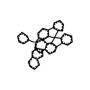 c1ccc(N(c2ccc3c(c2)C2(c4ccccc4-3)c3ccccc3-c3ccc4ccccc4c32)c2ccc3ccccc3c2)cc1